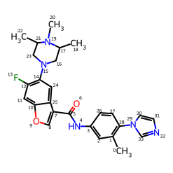 Cc1cc(NC(=O)c2coc3cc(F)c(N4CC(C)N(C)C(C)C4)cc23)ccc1-n1ccnc1